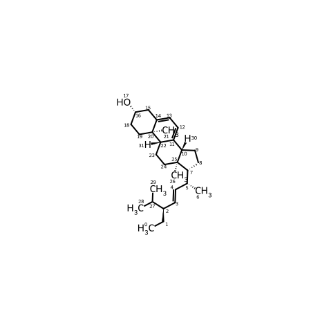 CC[C@H](/C=C/[C@@H](C)[C@H]1CC[C@H]2C3=CC=C4C[C@@H](O)CC[C@]4(C)[C@H]3CC[C@]12C)C(C)C